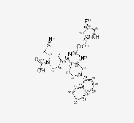 N#CCC1CN(c2nc(OC[C@@H]3C[C@@H](F)CN3)nc3c2CCN(c2cccc4ccccc24)C3)CCN1C(=O)O